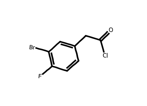 O=C(Cl)Cc1ccc(F)c(Br)c1